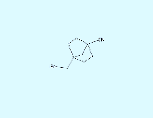 CC(C)CC12CCC(C#N)(CC1)C2